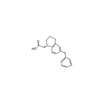 O=C(O)C[C@H]1CCCc2cc(Sc3ccccc3)ccc21